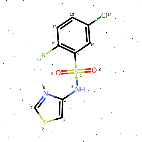 O=S(=O)(Nc1cscn1)c1cc(Cl)[c]cc1F